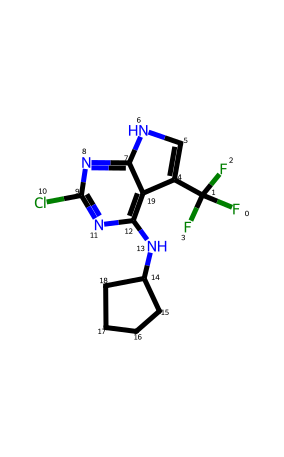 FC(F)(F)c1c[nH]c2nc(Cl)nc(NC3CCCC3)c12